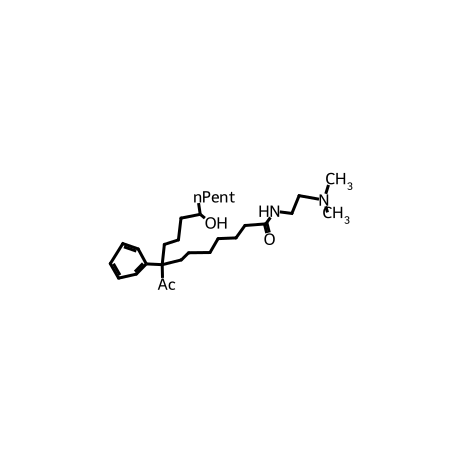 CCCCCC(O)CCCC(CCCCCCC(=O)NCCN(C)C)(C(C)=O)c1ccccc1